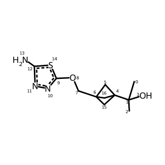 CC(C)(O)C12CC(COc3nnc(N)s3)(C1)C2